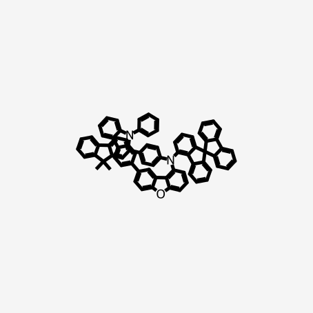 CC1(C)c2ccccc2-c2ccc(-c3ccc(N(c4cccc5c4-c4ccccc4C54c5ccccc5-c5ccccc54)c4cccc5oc6ccc(-c7ccc8c9ccccc9n(-c9ccccc9)c8c7)cc6c45)cc3)cc21